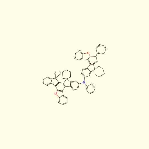 c1ccc(-c2cc3c(c4c2oc2ccccc24)-c2ccc(N(c4ccccc4)c4ccc5c(c4)C4(CCCCC4)c4c6c(c7oc8ccccc8c7c4-5)-c4ccccc4C64CCCCC4)cc2C32CCCCC2)cc1